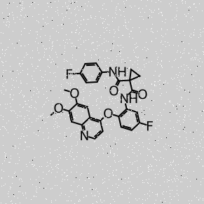 COc1cc2nccc(Oc3ccc(F)cc3NC(=O)C3(C(=O)Nc4ccc(F)cc4)CC3)c2cc1OC